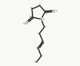 CCC=C[CH]CN1C(=O)CCC1=O